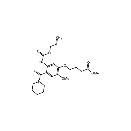 C=CCOC(=O)Nc1cc(OCCCC(=O)OC)c(OC)cc1C(=O)N1CCCCC1